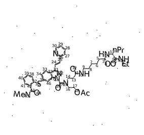 CCC[C@H](NC(=O)CCCCCNC(=O)CCN(CCOC(C)=O)C(=O)n1nc(/C=C/c2ccccn2)c2ccc(Sc3ccccc3C(=O)NC)cc21)C(=O)NCC